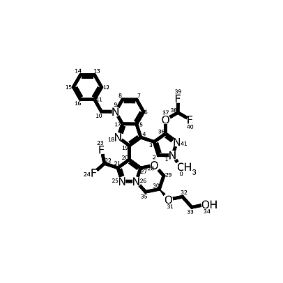 Cn1cc(-c2c3cccn(Cc4ccccc4)c-3nc2-c2c(C(F)F)nn3c2OC[C@@H](OCCO)C3)c(OC(F)F)n1